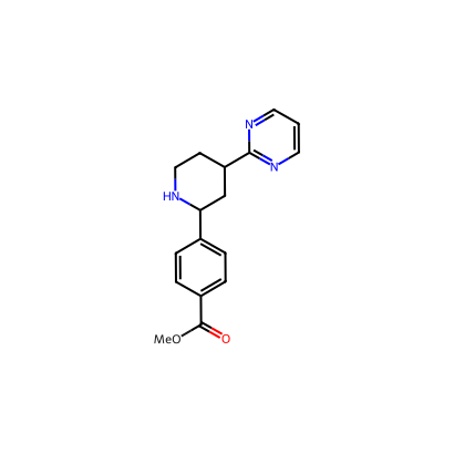 COC(=O)c1ccc(C2CC(c3ncccn3)CCN2)cc1